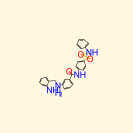 Nc1ccccc1CNc1cccc(C(=O)Nc2ccc(S(=O)(=O)Nc3ccccc3)cc2)c1